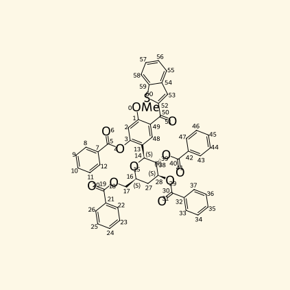 COc1cc(OC(=O)c2ccccc2)c([C@@H]2O[C@H](COC(=O)c3ccccc3)C[C@H](OC(=O)c3ccccc3)[C@H]2OC(=O)c2ccccc2)cc1C(=O)c1cc2ccccc2s1